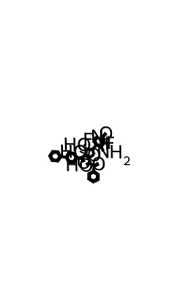 Nc1c(C2O[C@H](C(O)C(=O)c3ccccc3)[C@](O)(C(=O)c3ccc(-c4ccccc4)cc3)[C@H]2O)c(F)nc(=O)n1F